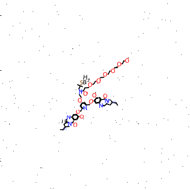 BSC(C)(C)CN(CCOc1cc(COc2cc3c(cc2OC)C(=O)N2C/C(=C/C)CC2C=N3)nc(COc2cc3c(cc2OC)C(=O)N2C/C(=C/C)C[C@H]2C=N3)c1)C(=O)CCOCCOCCOCCOCCOCCOC